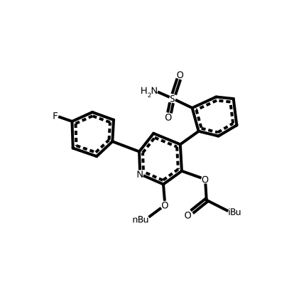 CCCCOc1nc(-c2ccc(F)cc2)cc(-c2ccccc2S(N)(=O)=O)c1OC(=O)C(C)CC